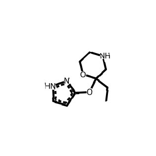 CCC1(Oc2cc[nH]n2)CNCCO1